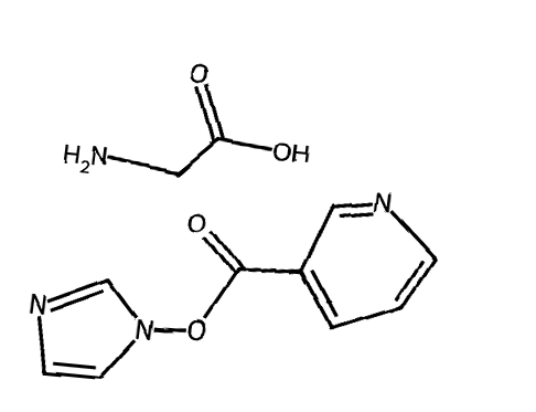 NCC(=O)O.O=C(On1ccnc1)c1cccnc1